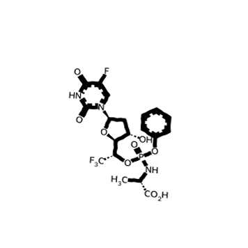 C[C@H](NP(=O)(Oc1ccccc1)O[C@@H]([C@H]1O[C@@H](n2cc(F)c(=O)[nH]c2=O)C[C@@H]1O)C(F)(F)F)C(=O)O